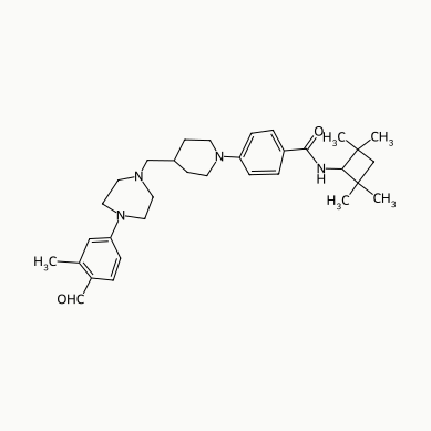 Cc1cc(N2CCN(CC3CCN(c4ccc(C(=O)NC5C(C)(C)CC5(C)C)cc4)CC3)CC2)ccc1C=O